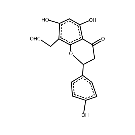 O=CCc1c(O)cc(O)c2c1OC(c1ccc(O)cc1)CC2=O